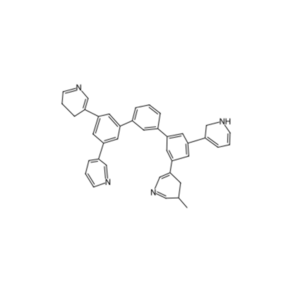 CC1C=NC=C(c2cc(C3=CC=CNC3)cc(-c3cccc(-c4cc(C5=CN=CCC5)cc(-c5cccnc5)c4)c3)c2)C1